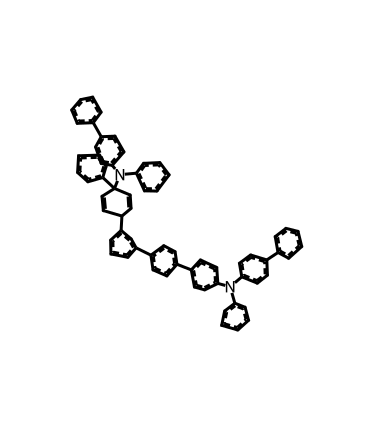 C1=CC(c2ccccc2)(N(c2ccccc2)c2ccc(-c3ccccc3)cc2)C=CC1c1cccc(-c2ccc(-c3ccc(N(c4ccccc4)c4ccc(-c5ccccc5)cc4)cc3)cc2)c1